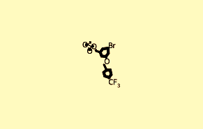 CS(=O)(=O)OCc1cc(Br)cc(OCc2ccc(C(F)(F)F)cc2)c1